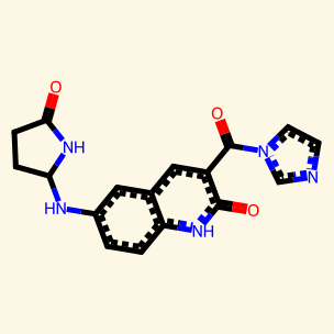 O=C1CCC(Nc2ccc3[nH]c(=O)c(C(=O)n4ccnc4)cc3c2)N1